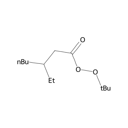 CCCCC(CC)CC(=O)OOC(C)(C)C